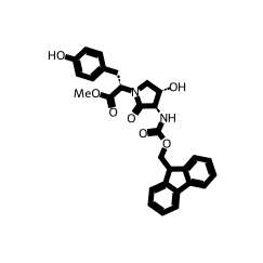 COC(=O)[C@H](Cc1ccc(O)cc1)N1C[C@H](O)[C@H](NC(=O)OCC2c3ccccc3-c3ccccc32)C1=O